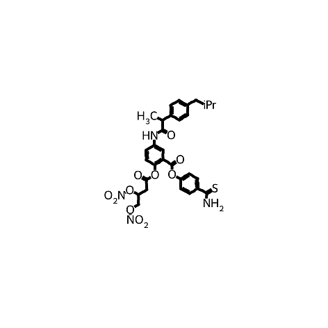 CC(C)Cc1ccc(C(C)C(=O)Nc2ccc(OC(=O)CC(CO[N+](=O)[O-])O[N+](=O)[O-])c(C(=O)Oc3ccc(C(N)=S)cc3)c2)cc1